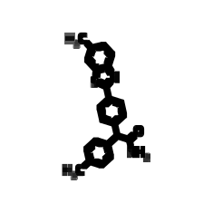 Cc1ccc(C(C(N)=O)c2ccc(-c3nc4ccc(C)cc4s3)cc2)cc1